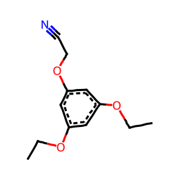 CCOc1cc(OCC)cc(OCC#N)c1